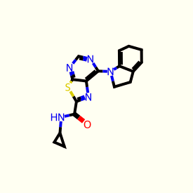 O=C(NC1CC1)c1nc2c(N3CCC4=CCCC=C43)ncnc2s1